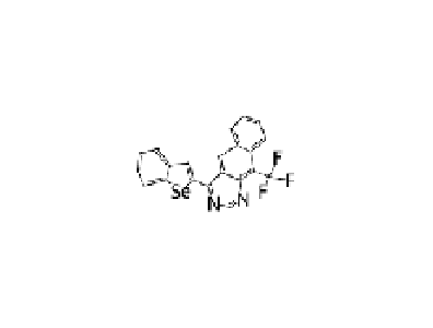 FC(F)(F)c1c2ccccc2cc2c(-c3cc4ccccc4[se]3)ncnc12